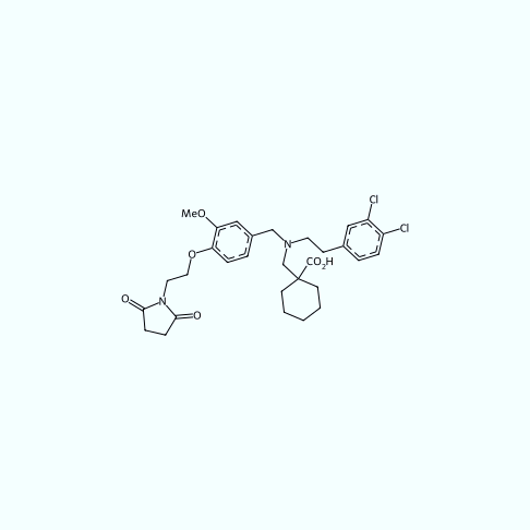 COc1cc(CN(CCc2ccc(Cl)c(Cl)c2)CC2(C(=O)O)CCCCC2)ccc1OCCN1C(=O)CCC1=O